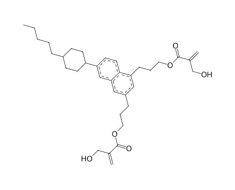 C=C(CO)C(=O)OCCCc1cc(CCCOC(=O)C(=C)CO)c2ccc(C3CCC(CCCCC)CC3)cc2c1